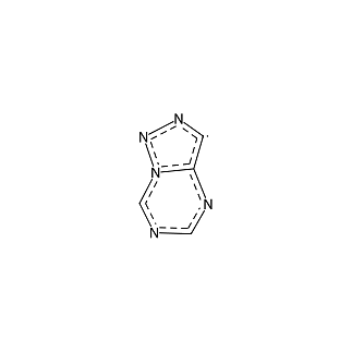 [c]1nnn2cncnc12